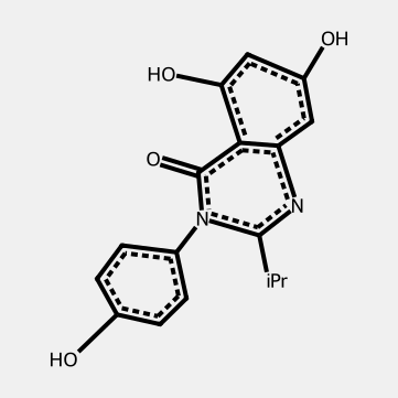 CC(C)c1nc2cc(O)cc(O)c2c(=O)n1-c1ccc(O)cc1